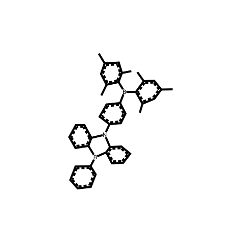 Cc1cc(C)c(B(c2ccc(N3c4ccccc4B(c4ccccc4)c4ccccc43)cc2)c2c(C)cc(C)cc2C)c(C)c1